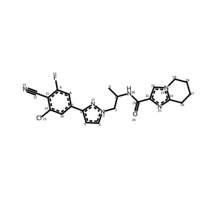 CC(Cn1ccc(-c2cc(F)c(C#N)c(Cl)c2)n1)NC(=O)c1cn2c(n1)CCCC2